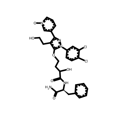 NC(=O)[C@H](Cc1ccccc1)NC(=O)C(O)CCOc1c(CCO)c(-c2ccc[n+]([O-])c2)nn1-c1ccc(Cl)c(Cl)c1